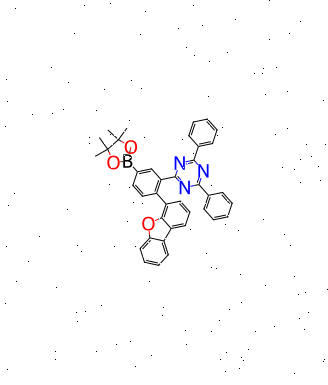 CC1(C)OB(c2ccc(-c3cccc4c3oc3ccccc34)c(-c3nc(-c4ccccc4)nc(-c4ccccc4)n3)c2)OC1(C)C